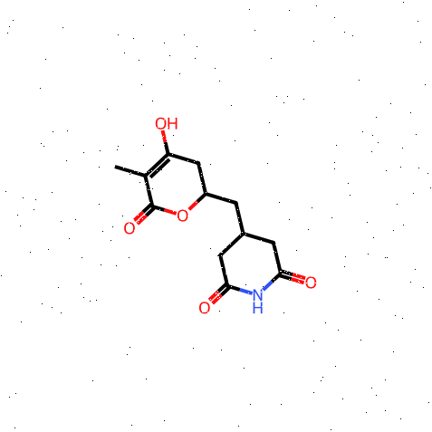 CC1=C(O)CC(CC2CC(=O)NC(=O)C2)OC1=O